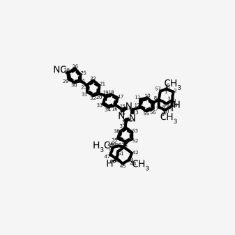 C[C@@H]1C[C@@H]2C[C@H](C)CC(c3ccc(-c4nc(-c5ccc(-c6ccc(-c7ccc(C#N)cc7)cc6)cc5)nc(-c5ccc(C67C[C@H](C)C[C@H](C[C@H](C)C6)C7)cc5)n4)cc3)(C1)C2